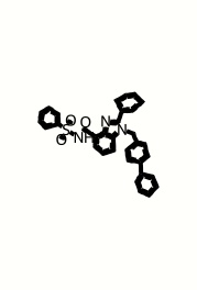 O=C(NS(=O)(=O)c1ccccc1)c1cccc2c1nc(-c1ccccc1)n2Cc1ccc(-c2ccccc2)cc1